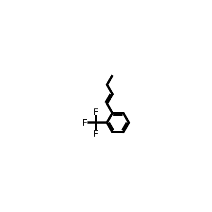 CCC=Cc1ccccc1C(F)(F)F